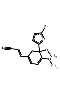 COC1=CC=C(C=CC#N)CC1(OC)c1ccc(Br)s1